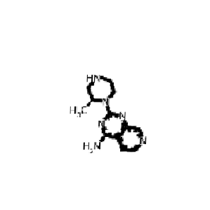 C[C@H]1CNCCN1c1nc(N)c2ccncc2n1